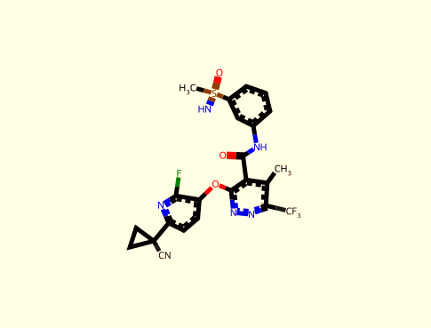 Cc1c(C(F)(F)F)nnc(Oc2ccc(C3(C#N)CC3)nc2F)c1C(=O)Nc1cccc(S(C)(=N)=O)c1